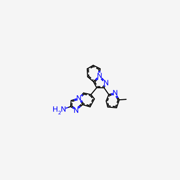 Cc1cccc(-c2nn3ccccc3c2-c2ccc3nc(N)cn3c2)n1